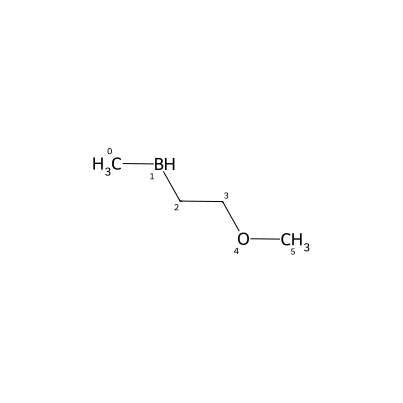 CBCCOC